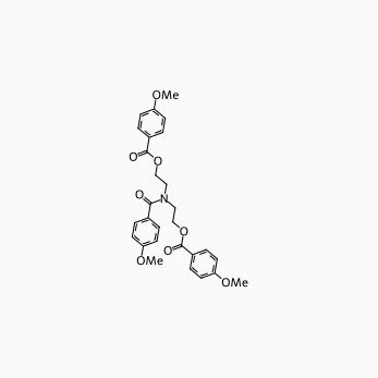 COc1ccc(C(=O)OCCN(CCOC(=O)c2ccc(OC)cc2)C(=O)c2ccc(OC)cc2)cc1